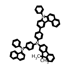 CC1(C)c2ccccc2-c2ccc(N(c3ccc(-c4ccc5c(c4)c4c6ccccc6ccc4n5-c4ccccc4)cc3)c3ccc(N(c4ccccc4)c4cccc5ccccc45)cc3)cc21